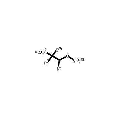 CCCC(CC)(C(=O)OCC)C(CC)OC(=O)OCC